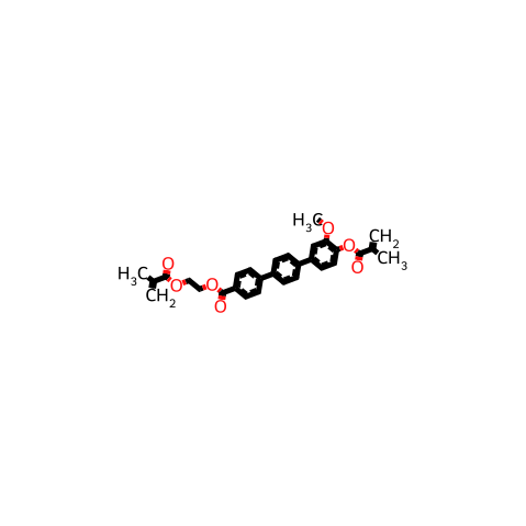 C=C(C)C(=O)OCCOC(=O)c1ccc(-c2ccc(-c3ccc(OC(=O)C(=C)C)c(OC)c3)cc2)cc1